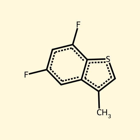 Cc1csc2c(F)cc(F)cc12